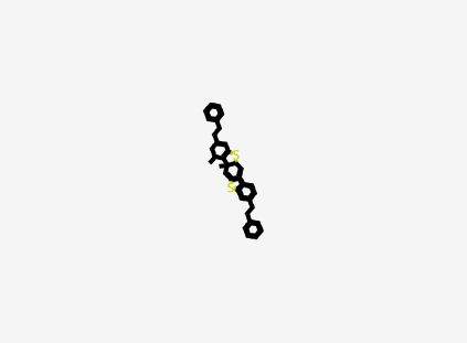 CC1CC(CCc2ccccc2)=CC2=C1C1(C)C=c3sc4cc(CCc5ccccc5)ccc4c3=CC1S2